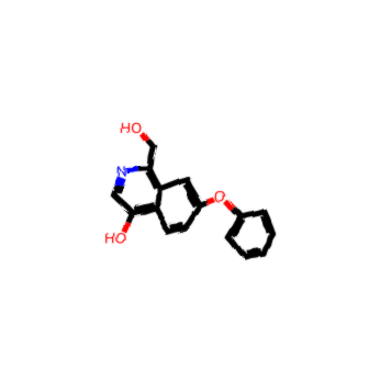 OCc1ncc(O)c2ccc(Oc3ccccc3)cc12